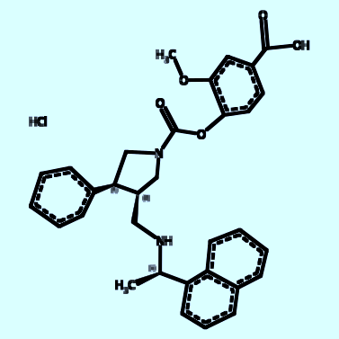 COc1cc(C(=O)O)ccc1OC(=O)N1C[C@@H](CN[C@H](C)c2cccc3ccccc23)[C@@H](c2ccccc2)C1.Cl